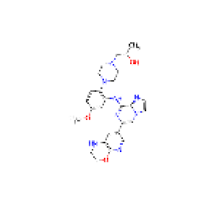 COc1ccc(N2CCN(CC(C)O)CC2)c(Nc2nc(-c3cnc4c(c3)NCCO4)cn3ccnc23)c1